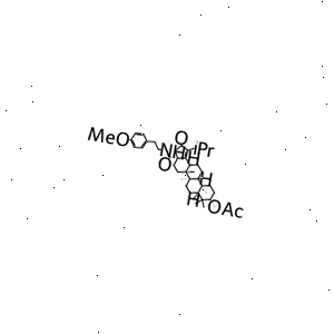 COc1ccc(CCNC(=O)[C@@]23CC[C@]4(C)[C@H](CC[C@@H]5[C@@]6(C)CC[C@H](OC(C)=O)C(C)(C)[C@@H]6CC[C@]54C)C2=C(C(C)C)C(=O)C3)cc1